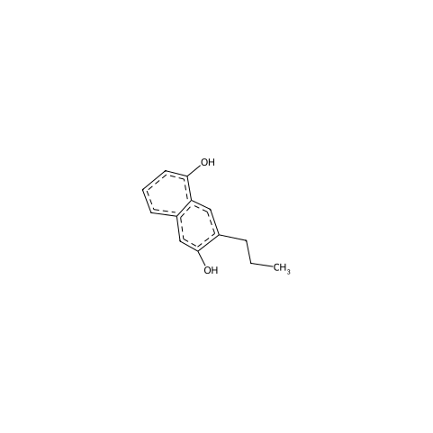 CCCc1cc2c(O)cccc2cc1O